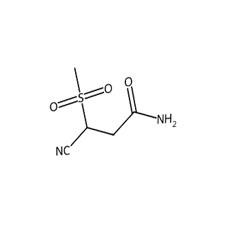 CS(=O)(=O)C(C#N)CC(N)=O